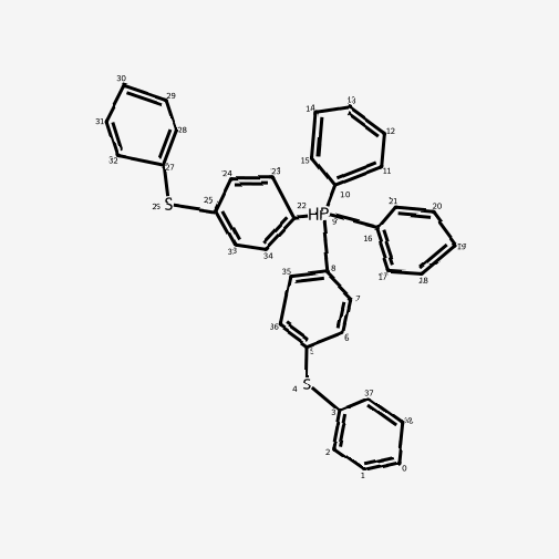 c1ccc(Sc2ccc([PH](c3ccccc3)(c3ccccc3)c3ccc(Sc4ccccc4)cc3)cc2)cc1